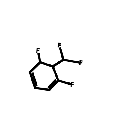 FC1=CC=CC(F)[C]1C(F)F